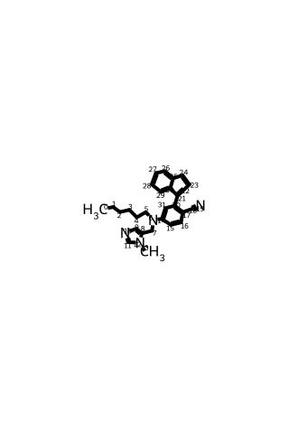 CCCCCCN(Cc1cncn1C)c1ccc(C#N)c(-c2cccc3ccccc23)c1